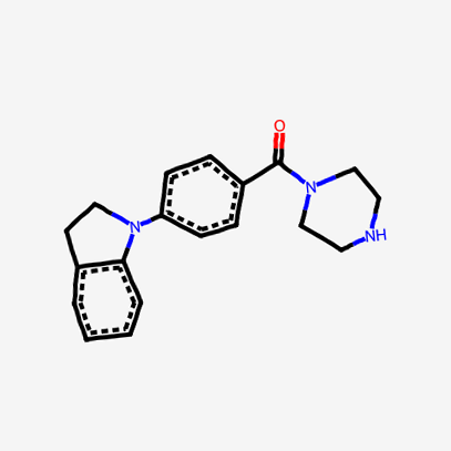 O=C(c1ccc(N2CCc3ccccc32)cc1)N1CCNCC1